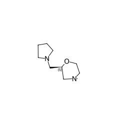 C1CCN(C[C@@H]2C[N]CCO2)C1